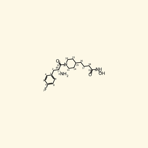 N[C@H](Cc1ccc(F)cc1)C(=O)N1CCC(CCCC(=O)NO)CC1